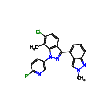 Cc1c(Cl)ccc2c(-c3cccc4nn(C)cc34)nn(-c3ccc(F)nc3)c12